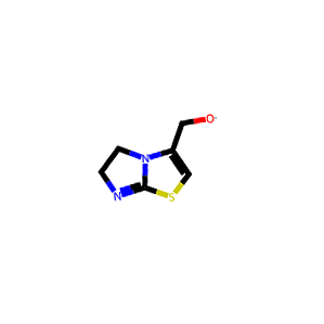 [O]CC1=CSC2=NCCN12